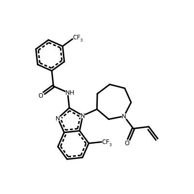 C=CC(=O)N1CCCCC(n2c(NC(=O)c3cccc(C(F)(F)F)c3)nc3cccc(C(F)(F)F)c32)C1